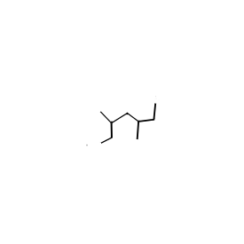 CC(=O)CC(C)CC(C)CC=O